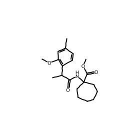 COC(=O)C1(NC(=O)C(C)c2ccc(C)cc2OC)CCCCCC1